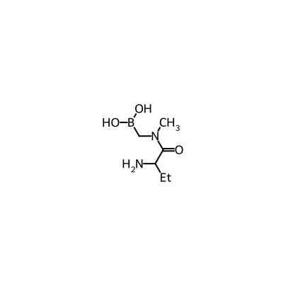 CCC(N)C(=O)N(C)CB(O)O